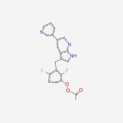 CC(=O)OOc1ccc(F)c(Cc2c[nH]c3ncc(-c4cccnc4)cc23)c1F